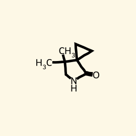 CC1(C)CNC(=O)C12CC2